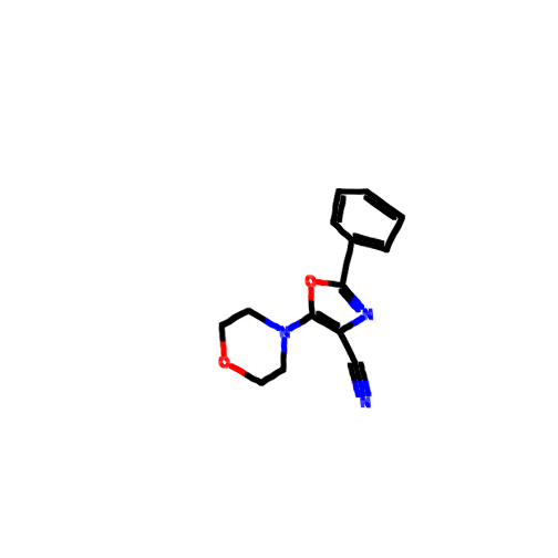 N#Cc1nc(-c2ccccc2)oc1N1CCOCC1